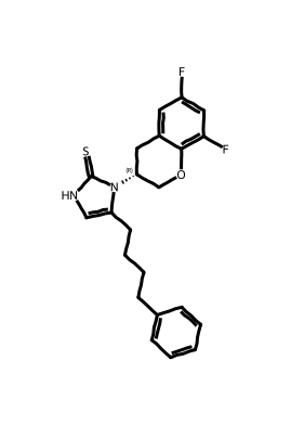 Fc1cc(F)c2c(c1)C[C@@H](n1c(CCCCc3ccccc3)c[nH]c1=S)CO2